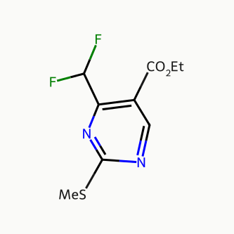 CCOC(=O)c1cnc(SC)nc1C(F)F